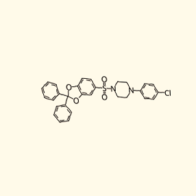 O=S(=O)(c1ccc2c(c1)OC(c1ccccc1)(c1ccccc1)O2)N1CCN(c2ccc(Cl)cc2)CC1